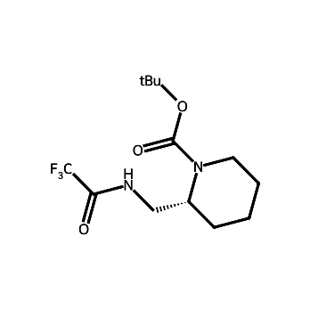 CC(C)(C)OC(=O)N1CCCC[C@@H]1CNC(=O)C(F)(F)F